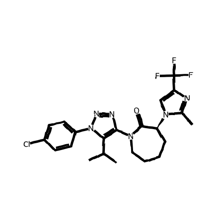 Cc1nc(C(F)(F)F)cn1[C@H]1CCCCN(c2nnn(-c3ccc(Cl)cc3)c2C(C)C)C1=O